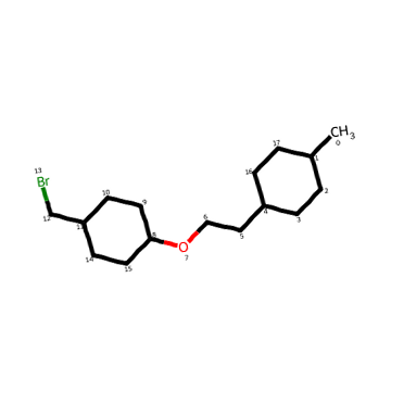 CC1CCC(CCOC2CCC(CBr)CC2)CC1